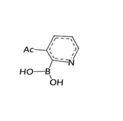 CC(=O)c1cccnc1B(O)O